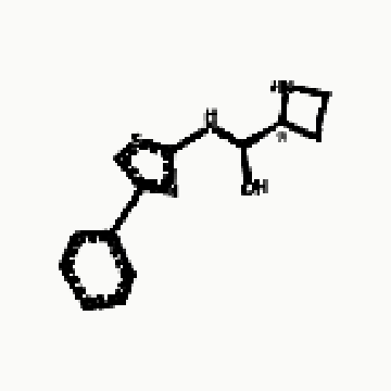 OC(Nc1nc(-c2ccccc2)cs1)[C@@H]1CCN1